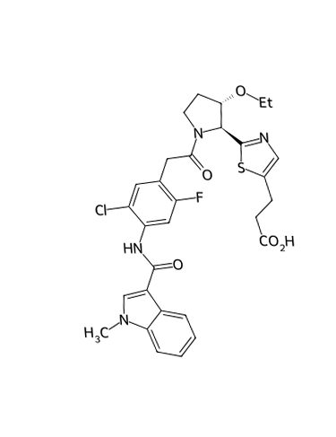 CCO[C@H]1CCN(C(=O)Cc2cc(Cl)c(NC(=O)c3cn(C)c4ccccc34)cc2F)[C@@H]1c1ncc(CCC(=O)O)s1